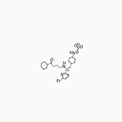 CCc1csc([C@H](Cc2ccc(NO[SH](=O)=O)cc2)NCCCC(=O)c2ccccc2)n1